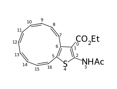 CCOC(=O)c1c(NC(C)=O)sc2c1\C=C/C=C\C=C/C=C\C=C/2